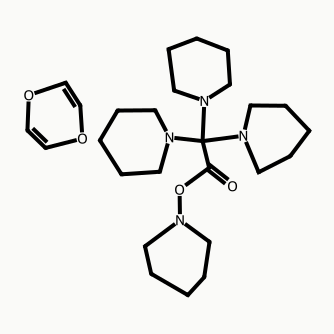 C1=COC=CO1.O=C(ON1CCCCC1)C(N1CCCCC1)(N1CCCCC1)N1CCCCC1